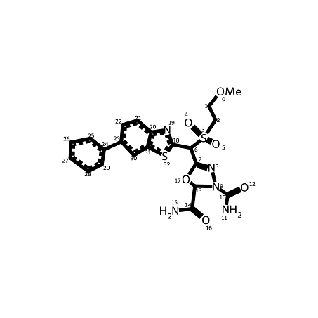 COCCS(=O)(=O)C(C1=NN(C(N)=O)C(C(N)=O)O1)c1nc2ccc(-c3ccccc3)cc2s1